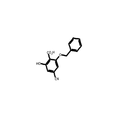 N#Cc1cc(O)c(C(=O)O)c(OCc2ccccc2)c1